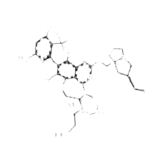 CCC[C@@H]1CNCCN2c3nc(OC[C@@]45CCCN4C/C(=C\F)C5)nc4c(F)c(-c5nc(N)cc(C)c5C(F)(F)F)c(Cl)c(c34)OC[C@H]12